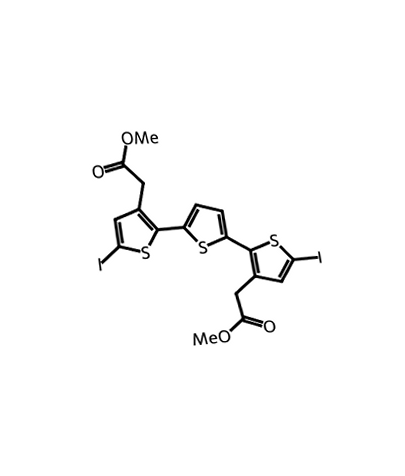 COC(=O)Cc1cc(I)sc1-c1ccc(-c2sc(I)cc2CC(=O)OC)s1